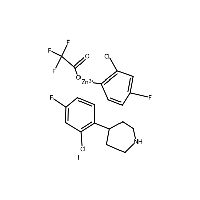 Fc1cc[c]([Zn+2])c(Cl)c1.Fc1ccc(C2CCNCC2)c(Cl)c1.O=C([O-])C(F)(F)F.[I-]